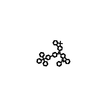 CC1(C)c2ccccc2-c2cc(N(c3ccc(-c4ccc(C(c5ccccc5)(c5ccccc5)c5ccccc5)cc4)cc3)c3ccc4c5ccccc5n(-c5ccccc5)c4c3)ccc21